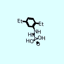 CCc1ccc(CC)c(NNP(=O)(O)O)c1